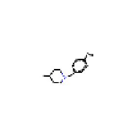 C=Cc1ccc(CN2CCC(C)CC2)cc1